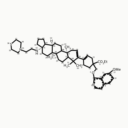 CCOC(=O)C1(COc2nccc3ccc(OC)cc23)CC=C(C2=CC[C@@]3(C)C(CC[C@@]4(C)C5CC[C@@]6(NCCN7CCSCC7)CCCC6[C@H]5CCC43)C2(C)C)CC1